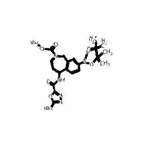 CC(C)(C)OC(=O)N1CCC(NC(=O)c2nnc(C(C)(C)C)o2)c2ccc(B3OC(C)(C)C(C)(C)O3)cc2C1